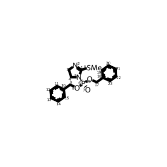 CSC1=NCCN1P(=O)(OCc1ccccc1)OCc1ccccc1